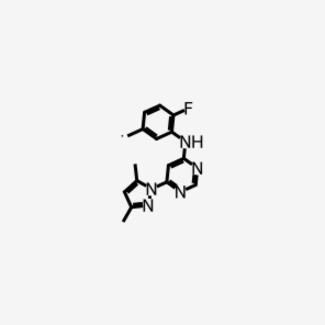 [CH2]c1ccc(F)c(Nc2cc(-n3nc(C)cc3C)ncn2)c1